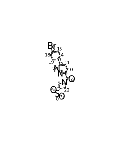 CS(=O)(=O)C1CN(C(=O)c2ccc(-c3ccc(Br)cc3)nn2)C1